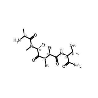 CC[C@H](C(=O)N(CC)[C@@H](CC)C(=O)N[C@H](C(N)=O)[C@@H](C)O)N(C)C(=O)[C@H](C)N